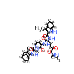 CNC(=O)C(=O)CCC(NC(=O)c1[nH]c2ccccc2c1C)C(=O)Nc1cccn(CC(=O)NC2C(C)CC3CCCC2C3)c1=O